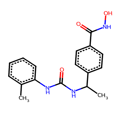 Cc1ccccc1NC(=O)NC(C)c1ccc(C(=O)NO)cc1